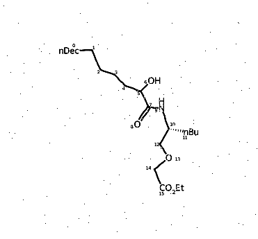 CCCCCCCCCCCCCCC(O)C(=O)N[C@H](CCCC)COCC(=O)OCC